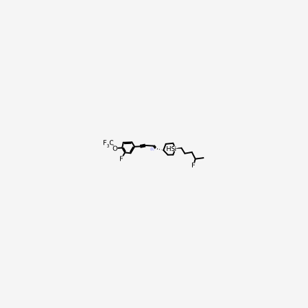 CC(F)CCC[Si@H]1CC[C@H](/C=C/C#Cc2ccc(OC(F)(F)F)c(F)c2)CC1